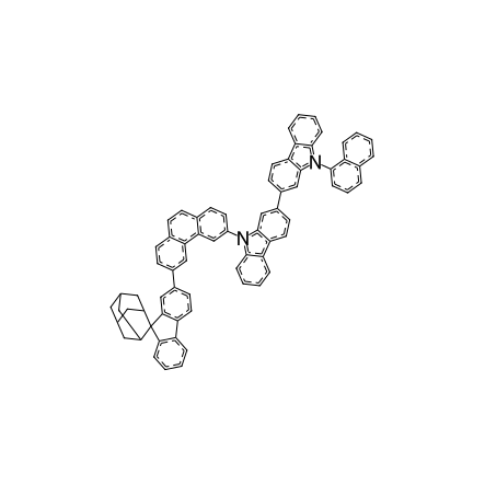 c1ccc2c(c1)-c1ccc(-c3ccc4ccc5ccc(-n6c7ccccc7c7ccc(-c8ccc9c%10ccccc%10n(-c%10cccc%11ccccc%10%11)c9c8)cc76)cc5c4c3)cc1C21C2CC3CC(C2)CC1C3